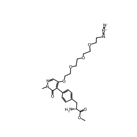 COC(=O)[C@@H](N)Cc1ccc(-c2c(OCCOCCOCCOCCN=[N+]=[N-])cnn(C)c2=O)cc1